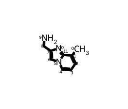 Cc1cccn2cc(CN)nc12